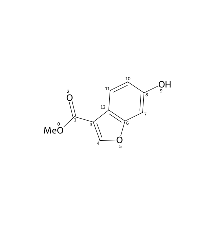 COC(=O)c1coc2cc(O)ccc12